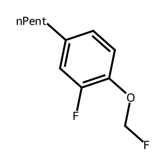 CCCCCc1ccc(OCF)c(F)c1